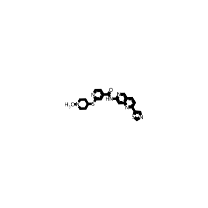 CN1CCC(Sc2cc(C(=O)Nc3cc4nc(-c5cncs5)ccc4cn3)ccn2)CC1